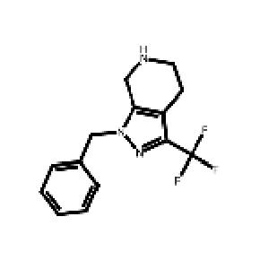 FC(F)(F)c1nn(Cc2ccccc2)c2c1CCNC2